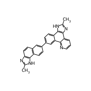 Cc1nc2ccc3cc(-c4ccc5c(c4)c4ncccc4c4nc(C)[nH]c54)ccc3c2[nH]1